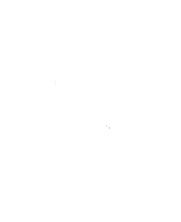 CCC(/C=N/OC)CC